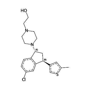 Cc1cc([C@@H]2C[C@@H](N3CCN(CCO)CC3)c3ccc(Cl)cc32)cs1